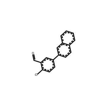 O=Cc1cc(-c2ccc3ccccc3c2)ccc1Cl